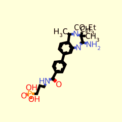 CCOC(=O)N1C(C)c2ccc(-c3ccc(C(=O)NCCCP(=O)(O)O)cc3)cc2N=C(N)C1(C)C